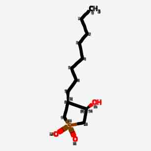 CCCCCCCC[C@@H]1CS(=O)(=O)C[C@@H]1O